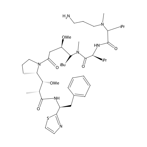 CC[C@H](C)C([C@@H](CC(=O)N1CCC[C@H]1[C@H](OC)[C@@H](C)C(=O)N[C@@H](Cc1ccccc1)c1nccs1)OC)N(C)C(=O)[C@@H](NC(=O)C(C(C)C)N(C)CCCN)C(C)C